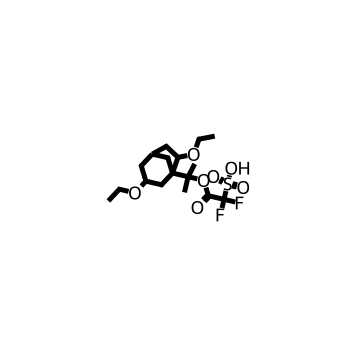 CCOC1CC2CC(OCC)C(C(C)(C)OC(=O)C(F)(F)S(=O)(=O)O)(C2)C1